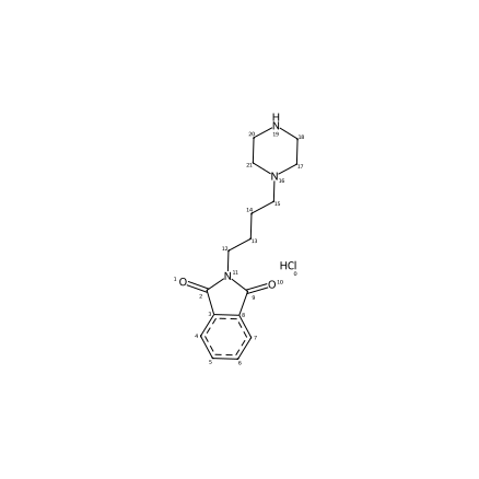 Cl.O=C1c2ccccc2C(=O)N1CCCCN1CCNCC1